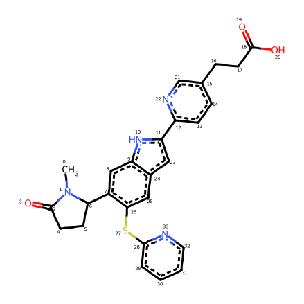 CN1C(=O)CCC1c1cc2[nH]c(-c3ccc(CCC(=O)O)cn3)cc2cc1Sc1ccccn1